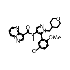 COc1ccc(Cl)cc1-c1c(NC(=O)c2cnn3cccnc23)cnn1CC1CCOCC1